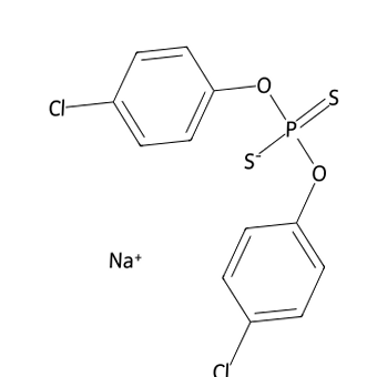 S=P([S-])(Oc1ccc(Cl)cc1)Oc1ccc(Cl)cc1.[Na+]